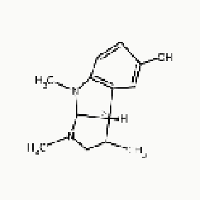 CC1CN(C)C2[C@@H]1c1cc(O)ccc1N2C